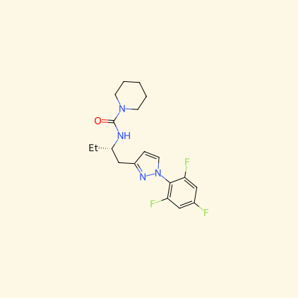 CC[C@@H](Cc1ccn(-c2c(F)cc(F)cc2F)n1)NC(=O)N1CCCCC1